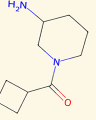 NC1CCCN(C(=O)C2CCC2)C1